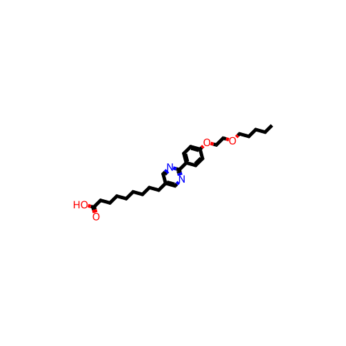 CCCCCOCCOc1ccc(-c2ncc(CCCCCCCCC(=O)O)cn2)cc1